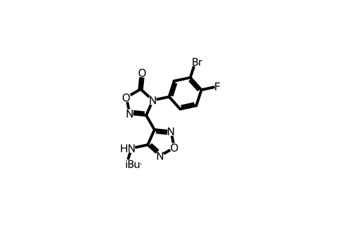 CC[C](C)Nc1nonc1-c1noc(=O)n1-c1ccc(F)c(Br)c1